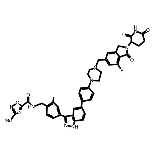 Cc1cc(-c2n[nH]c3ccc(-c4ccc(N5CCN(Cc6cc(F)c7c(c6)CN(C6CCC(=O)NC6=O)C7=O)CC5)cc4)cc23)ccc1CNC(=O)c1nc(C(C)(C)C)no1